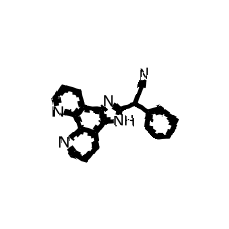 N#CC(c1ccccc1)c1nc2c3cccnc3c3ncccc3c2[nH]1